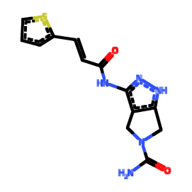 NC(=O)N1Cc2[nH]nc(NC(=O)C=Cc3cccs3)c2C1